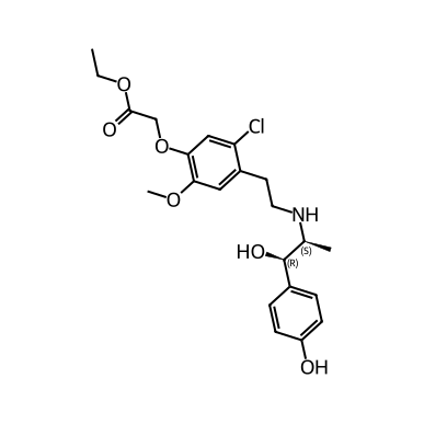 CCOC(=O)COc1cc(Cl)c(CCN[C@@H](C)[C@H](O)c2ccc(O)cc2)cc1OC